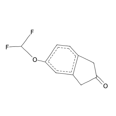 O=C1Cc2ccc(OC(F)F)cc2C1